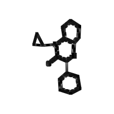 O=c1c(-c2ccccc2)nc2ccccc2n1C1CC1